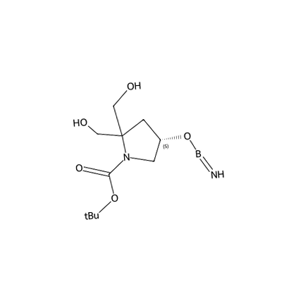 CC(C)(C)OC(=O)N1C[C@@H](OB=N)CC1(CO)CO